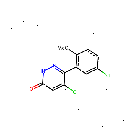 COc1ccc(Cl)cc1-c1n[nH]c(=O)cc1Cl